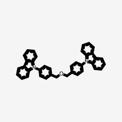 c1ccc2c(c1)c1ccccc1n2-c1ccc(COCc2ccc(-n3c4ccccc4c4ccccc43)cc2)cc1